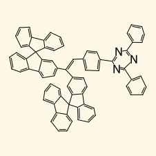 C(=C(c1ccc2c(c1)C1(c3ccccc3-c3ccccc31)c1ccccc1-2)c1ccc2c(c1)C1(c3ccccc3-c3ccccc31)c1ccccc1-2)c1ccc(-c2nc(-c3ccccc3)nc(-c3ccccc3)n2)cc1